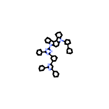 c1ccc(-c2cccc(-n3c4ccccc4c4c5c6ccccc6n(-c6nc(-c7ccccc7)nc(-c7cccc(-c8cc(-c9ccccc9)nc(-c9ccccc9)n8)c7)n6)c5ccc43)c2)cc1